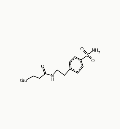 CC(C)(C)CCC(=O)NCCc1ccc(S(N)(=O)=O)cc1